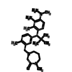 Cc1ccc(C(c2ccc(N(C)N)c(N)c2C)C(C)(C)C)cc1CN1CCCN(C)C(=O)C1